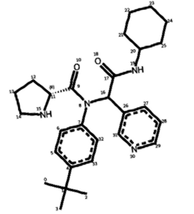 CC(C)(C)c1ccc(N(C(=O)[C@H]2CCCN2)C(C(=O)NC2CCCCC2)c2cccnc2)cc1